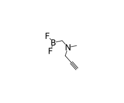 C#CCN(C)CB(F)F